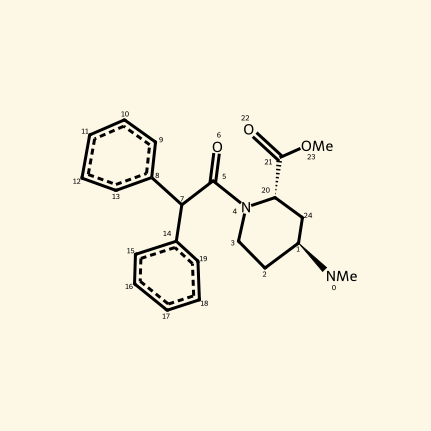 CN[C@H]1CCN(C(=O)C(c2ccccc2)c2ccccc2)[C@H](C(=O)OC)C1